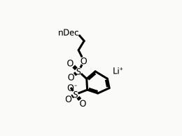 CCCCCCCCCCCCOS(=O)(=O)c1ccccc1S(=O)(=O)[O-].[Li+]